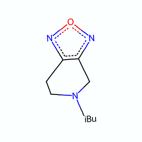 CCC(C)N1CCc2nonc2C1